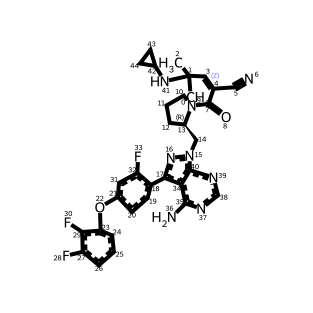 CC(C)(/C=C(/C#N)C(=O)N1CCC[C@@H]1Cn1nc(-c2ccc(Oc3cccc(F)c3F)cc2F)c2c(N)ncnc21)NC1CC1